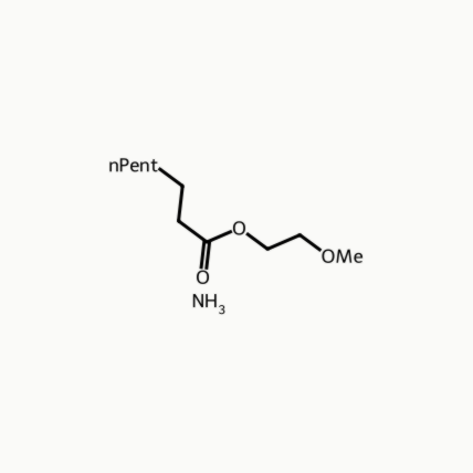 CCCCCCCC(=O)OCCOC.N